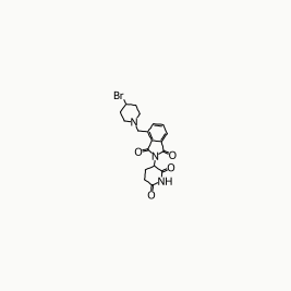 O=C1CCC(N2C(=O)c3cccc(CN4CCC(Br)CC4)c3C2=O)C(=O)N1